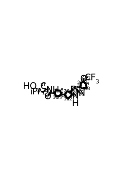 CC(C)C[C@H](NC(=O)c1ccc(-c2ccc(Nc3nc4ccc(OC(F)(F)F)cc4s3)c(F)c2)cc1)C(=O)O